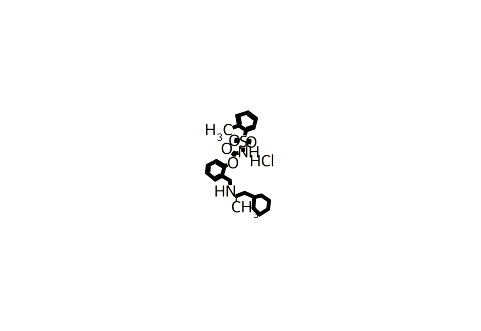 Cc1ccccc1S(=O)(=O)NC(=O)Oc1ccccc1CN[C@@H](C)CC1CCCCC1.Cl